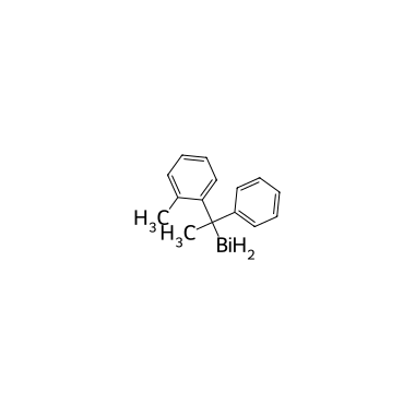 Cc1ccccc1[C](C)([BiH2])c1ccccc1